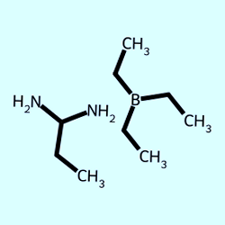 CCB(CC)CC.CCC(N)N